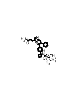 CC(C)(C)OC(=O)NC1(c2ccc(-c3nn4c(/C=C/C(N)=O)cnc4cc3-c3ccccc3)cc2)CCC1